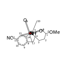 COC1CCC2(CC1)Cc1ccc(C#N)cc1C21NC(=O)N(C)C1=O